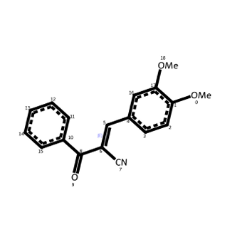 COc1ccc(/C=C(\C#N)C(=O)c2ccccc2)cc1OC